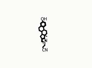 C[C@]12CCC3c4ccc(O)cc4CCC3C1Cc1cn(CCC#N)nc12